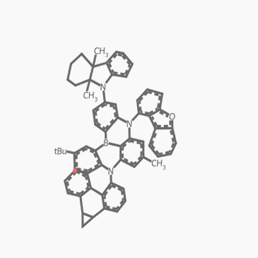 Cc1cc2c3c(c1)N(c1cccc4oc5ccccc5c14)c1cc(N4c5ccccc5C5(C)CCCCC45C)ccc1B3c1cc(C(C)(C)C)ccc1N2c1cccc2c1-c1ccccc1C1CC21